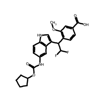 COc1cc(C(=O)O)ccc1C(c1c[nH]c2ccc(NC(=O)OC3CCCC3)cc12)C(F)F